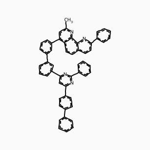 Cc1cc(-c2cccc(-c3cccc(-c4cc(-c5ccc(-c6ccccc6)cc5)nc(-c5ccccc5)n4)c3)c2)c2ccc3ccc(-c4ccccc4)nc3c2n1